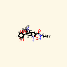 CC(C)CCNC(=O)c1cc2c([nH]c1=O)C[C@]13CCN(C)[C@H](Cc4ccc(O)cc41)[C@]3(O)C2